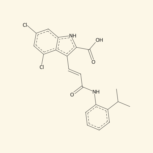 CC(C)c1ccccc1NC(=O)C=Cc1c(C(=O)O)[nH]c2cc(Cl)cc(Cl)c12